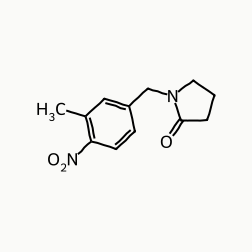 Cc1cc(CN2CCCC2=O)ccc1[N+](=O)[O-]